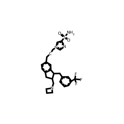 NS(=O)(=O)c1cn(CCCc2ccc3c(c2)C(Cc2cccc(C(F)(F)F)c2)C(CN2CCC2)C3)cn1